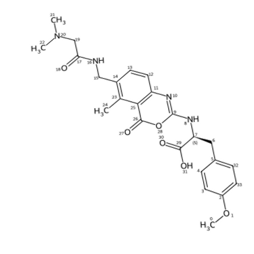 COc1ccc(C[C@H](Nc2nc3ccc(CNC(=O)CN(C)C)c(C)c3c(=O)o2)C(=O)O)cc1